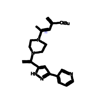 C=C(/C=C(\C)N1CCN(C(=C)c2cc(-c3cccnc3)n[nH]2)CC1)OCC(C)C